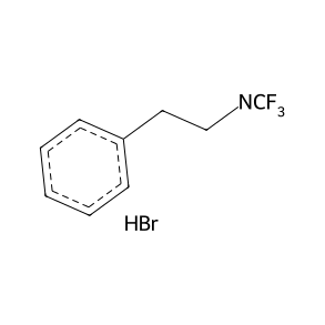 Br.FC(F)(F)NCCc1ccccc1